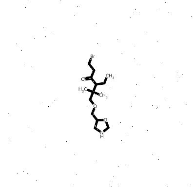 CCC(C(=O)CCBr)C(C)(C)COCC1CNCO1